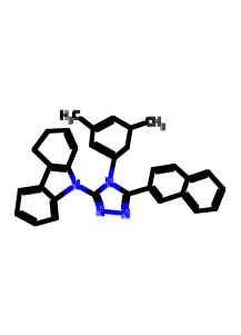 CC1=CC(C)CC(n2c(-c3ccc4ccccc4c3)nnc2-n2c3c(c4ccccc42)CCC=C3)=C1